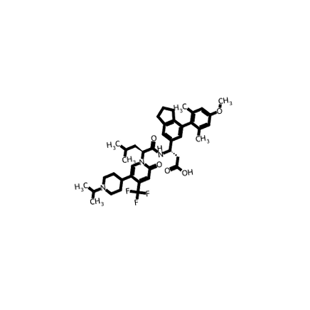 COc1cc(C)c(-c2cc([C@H](CC(=O)O)NC(=O)[C@H](CC(C)C)n3cc(C4CCN(C(C)C)CC4)c(C(F)(F)F)cc3=O)cc3c2CCC3)c(C)c1